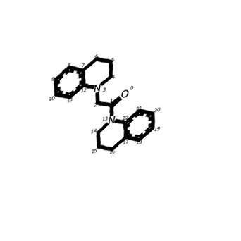 O=C(CN1CCCc2ccccc21)N1CCCc2ccccc21